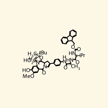 COc1cc2c(cc1O)N(C(=O)O)[C@@H](O[Si](C)(C)C(C)(C)C)C1CC(c3ccc(NC(=O)[C@H](C)NC(=O)[C@@H](NC(=O)OCC4c5ccccc5-c5ccccc54)C(C)C)cc3)=CN1C2=O